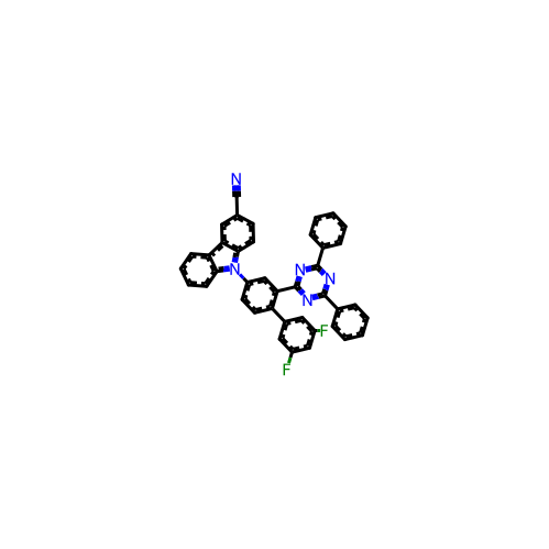 N#Cc1ccc2c(c1)c1ccccc1n2-c1ccc(-c2cc(F)cc(F)c2)c(-c2nc(-c3ccccc3)nc(-c3ccccc3)n2)c1